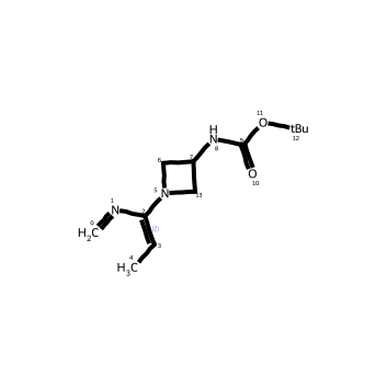 C=N/C(=C\C)N1CC(NC(=O)OC(C)(C)C)C1